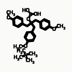 COc1ccc(CC(Cc2ccc(OC)cc2)(Cc2ccc(OC)cc2)OB(O)O)cc1.C[N+](C)(C)C